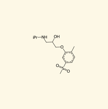 Cc1ccc(S(C)(=O)=O)cc1OCC(O)CNC(C)C